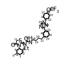 CCc1ccc(C)cc1N1C(=O)CS/C1=N\C(=O)NCCCCc1cccc(-c2ncn(-c3ccc(OC(F)(F)F)cc3)n2)c1